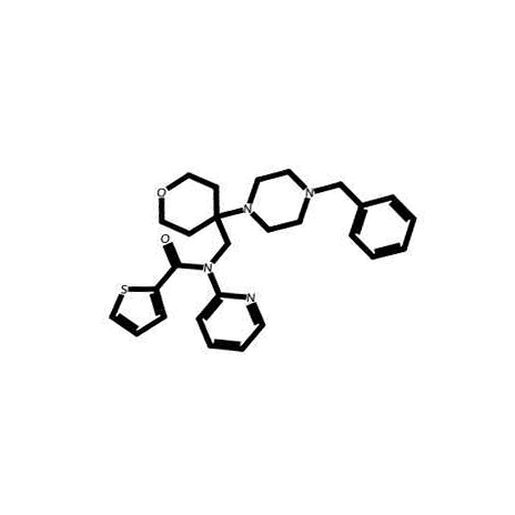 O=C(c1cccs1)N(CC1(N2CCN(Cc3ccccc3)CC2)CCOCC1)c1ccccn1